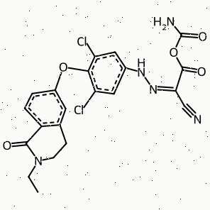 CCN1CCc2cc(Oc3c(Cl)cc(NN=C(C#N)C(=O)OC(N)=O)cc3Cl)ccc2C1=O